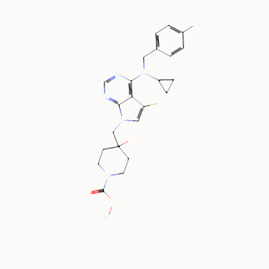 CC(C)(C)OC(=O)N1CCC(O)(Cn2cc(F)c3c(N(Cc4ccc(C(F)(F)F)cc4)C4CC4)ncnc32)CC1